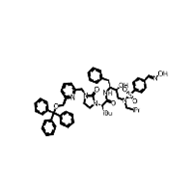 CC[C@H](C)[C@@H](C(=O)N[C@@H](Cc1ccccc1)[C@@H](O)CN(CC(C)C)S(=O)(=O)c1ccc(C=NO)cc1)N1CCN(Cc2cccc(COC(c3ccccc3)(c3ccccc3)c3ccccc3)n2)C1=O